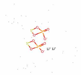 O=P1([O-])OSO1.O=P1([O-])OSO1.[Li+].[Li+]